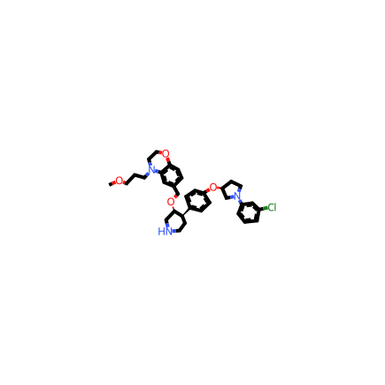 COCCCN1CCOc2ccc(CO[C@H]3CNCC[C@@H]3c3ccc(O[C@H]4CCN(c5cccc(Cl)c5)C4)cc3)cc21